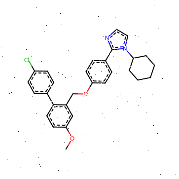 COc1ccc(-c2ccc(Cl)cc2)c(COc2ccc(-c3nccn3C3CCCCC3)cc2)c1